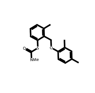 CNC(=O)Sc1cccc(C)c1COc1ccc(C)cc1C